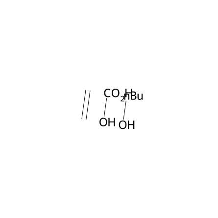 C=C.CCCCO.O=C(O)O